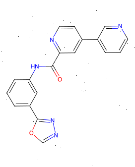 O=C(Nc1cccc(-c2nnco2)c1)c1cc(-c2cccnc2)ccn1